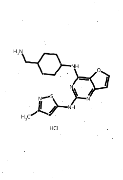 Cc1cc(Nc2nc(NC3CCC(CN)CC3)c3occc3n2)sn1.Cl